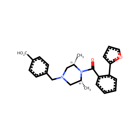 C[C@@H]1CN(Cc2ccc(C(=O)O)cc2)C[C@H](C)N1C(=O)c1ccccc1-c1ccco1